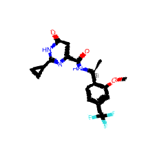 COc1cc(C(F)(F)F)ccc1[C@H](C)NC(=O)c1cc(=O)[nH]c(C2CC2)n1